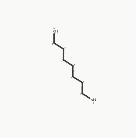 SCCCCCCCS